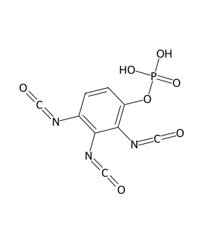 O=C=Nc1ccc(OP(=O)(O)O)c(N=C=O)c1N=C=O